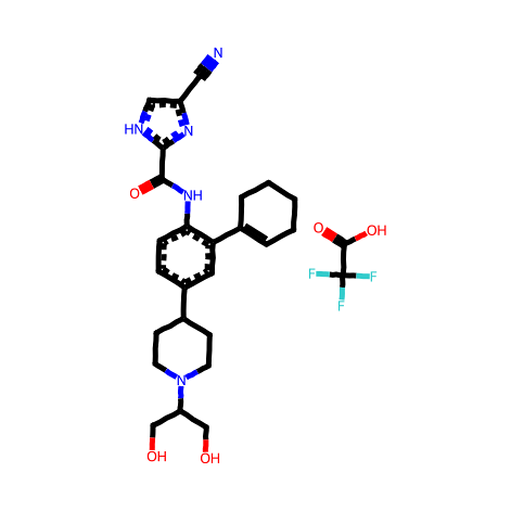 N#Cc1c[nH]c(C(=O)Nc2ccc(C3CCN(C(CO)CO)CC3)cc2C2=CCCCC2)n1.O=C(O)C(F)(F)F